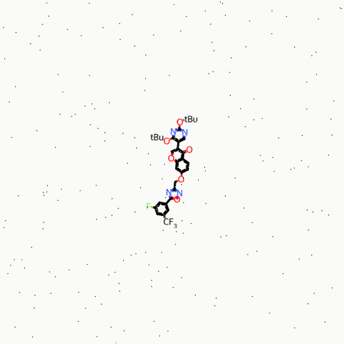 CC(C)(C)Oc1ncc(-c2coc3cc(OCc4noc(-c5cc(F)cc(C(F)(F)F)c5)n4)ccc3c2=O)c(OC(C)(C)C)n1